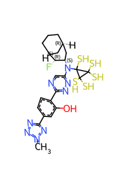 Cn1nnc(-c2ccc(-c3ncc(N([C@H]4C[C@@H]5CCC[C@@H](C5)[C@H]4F)C4(S)C(S)(S)C4(S)S)nn3)c(O)c2)n1